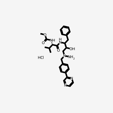 COC(=O)N[C@H](C(=O)NC(Cc1ccccc1)C(O)CN(N)Cc1ccc(-c2cnccn2)cc1)C(C)C.Cl